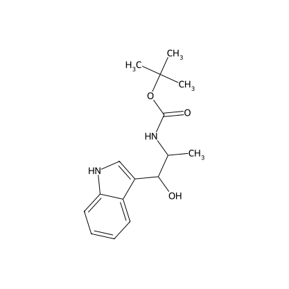 CC(NC(=O)OC(C)(C)C)C(O)c1c[nH]c2ccccc12